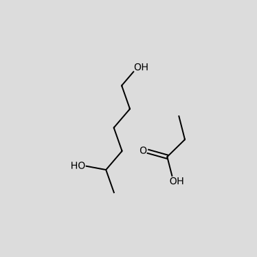 CC(O)CCCCO.CCC(=O)O